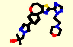 CC(C)(O)Cn1cc(-c2ccc3c(c2)OCCc2sc(-c4ncnn4CCN4CCOCC4)nc2-3)cn1